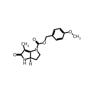 COc1ccc(COC(=O)N2CC[C@@H]3NC(=O)C(C)=C32)cc1